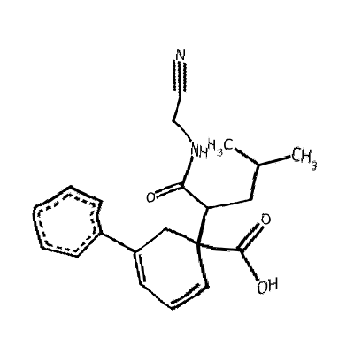 CC(C)CC(C(=O)NCC#N)C1(C(=O)O)C=CC=C(c2ccccc2)C1